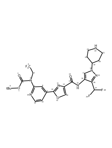 CC(C)(C)OC(=O)N(CC(F)(F)F)c1cc(-c2nc(C(=O)Nc3cn(C4CCNCC4)nc3C(F)F)co2)ccn1